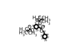 CC(C)(C)C(=O)Oc1ccc(OC(=O)C(C)(C)C)c(C(=O)OCc2ccccc2)c1